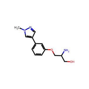 Cn1cc(-c2c[c]cc(OCC(N)CO)c2)cn1